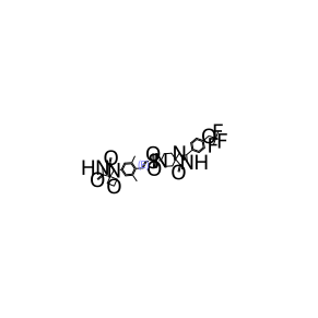 Cc1cc(N2C(=O)NC(=O)C23COC3)cc(C)c1/C=C/S(=O)(=O)N1CCC2(CC1)N=C(c1ccc(OC(F)(F)F)cc1)NC2=O